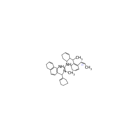 C/C=C\C1=C(C(C)C2C=CCCC2NCN(C)C(C2=CCCCC2)c2ccc3c(c2N)C=CCC3)CCC=C1